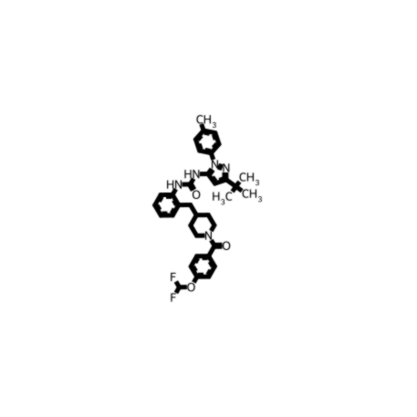 Cc1ccc(-n2nc(C(C)(C)C)cc2NC(=O)Nc2ccccc2CC2CCN(C(=O)c3ccc(OC(F)F)cc3)CC2)cc1